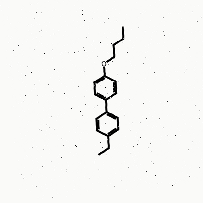 CCCCOc1ccc(-c2ccc(CC)cc2)cc1